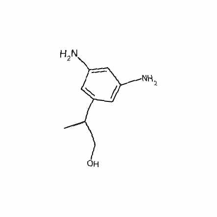 CC(CO)c1cc(N)cc(N)c1